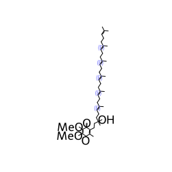 COC1=C(OC)C(=O)C(CCC(C)(O)CC/C=C(\C)CC/C=C(\C)CC/C=C(\C)CC/C=C(\C)CC/C=C(\C)CCC=C(C)C)=C(C)C1=O